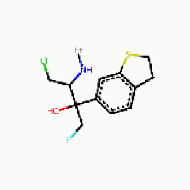 CCNC(CCl)C(O)(CF)c1ccc2c(c1)SCC2